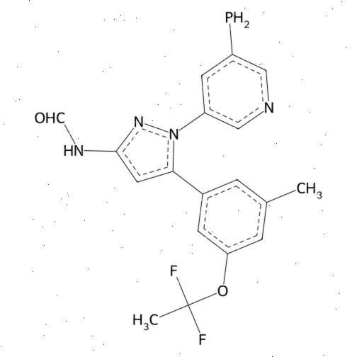 Cc1cc(OC(C)(F)F)cc(-c2cc(NC=O)nn2-c2cncc(P)c2)c1